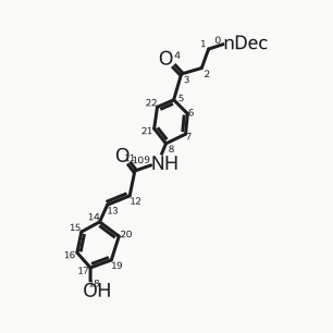 CCCCCCCCCCCCC(=O)c1ccc(NC(=O)C=Cc2ccc(O)cc2)cc1